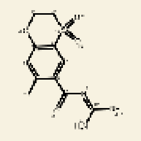 Cc1cc2c(cc1C(=O)N=C(N)N)S(=O)(=O)CCO2